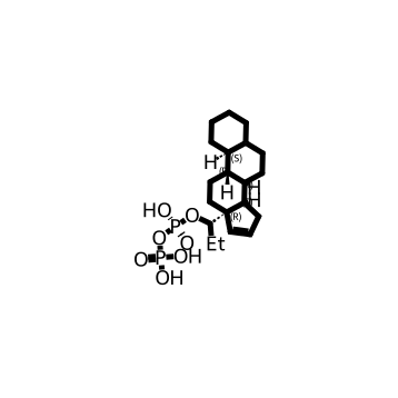 CCC(OP(=O)(O)OP(=O)(O)O)[C@@]12C=CC[C@H]1[C@@H]1CCC3CCCC[C@@H]3[C@H]1CC2